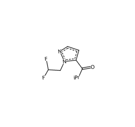 CC(C)C(=O)c1ccnn1CC(F)F